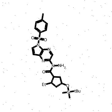 CCC1CC(O[Si](C)(C)C(C)(C)C)CC1C(=O)N(N)c1cnc2c(ccn2S(=O)(=O)c2ccc(C)cc2)n1